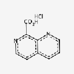 Cl.O=C(O)c1nccc2cccnc12